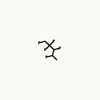 CC(F)C(F)C(F)(F)CF